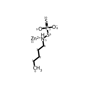 CCCCCNSP([O-])([O-])=S.[Zn+2]